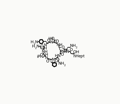 CCCCCCC[C@@H](O)CC(=O)N[C@H](CCN)C(=O)N[C@H]1CCNC(=O)[C@H]([C@@H](C)O)NC(=O)[C@H](Cc2ccc(N)cc2)NC(=O)[C@H](CCN)NC(=O)[C@H](CC(C)C)NC(=O)[C@@H](Cc2ccccc2)NC(=O)[C@H](CCN)NC1=O